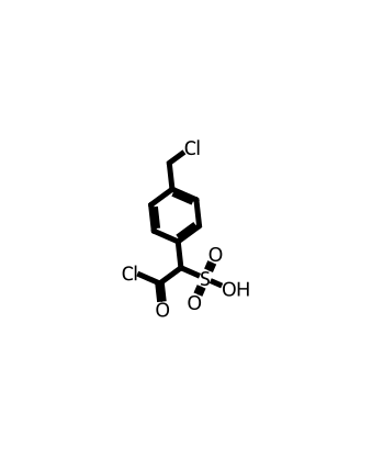 O=C(Cl)C(c1ccc(CCl)cc1)S(=O)(=O)O